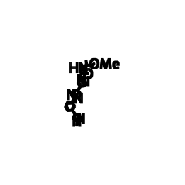 COCC(C)NC(=O)Cn1cc(-c2cnc(-c3cccc(-c4cnn(C)c4)c3)nc2)cn1